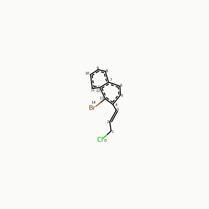 ClCC=Cc1ccc2ccccc2c1Br